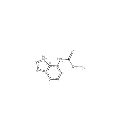 CC(C)(C)OC(=O)Nc1cccc2cc[nH]c12